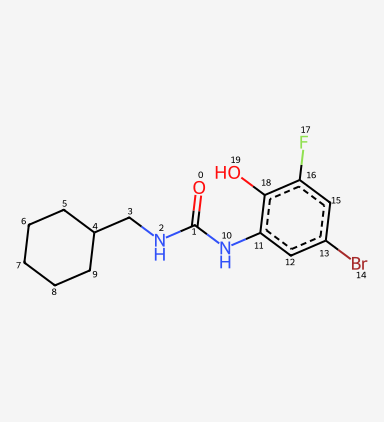 O=C(NCC1CCCCC1)Nc1cc(Br)cc(F)c1O